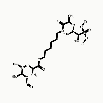 CCOP(=O)(OCC)C(N(OC(C)C(=O)OCCCCCCOC(=O)C(C)ON(C(OP=O)C(C)(C)C)C(C)(C)C)C(C)(C)C)C(C)(C)C